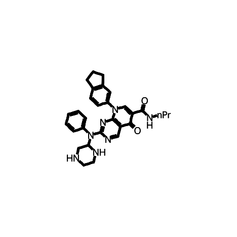 CCCNC(=O)c1cn(-c2ccc3c(c2)CCC3)c2nc(N(c3ccccc3)C3CNCCN3)ncc2c1=O